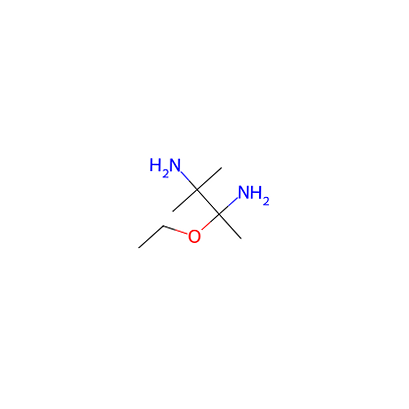 CCOC(C)(N)C(C)(C)N